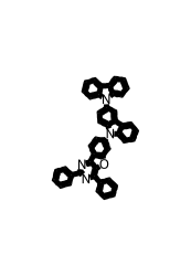 c1ccc(-c2nc(-c3ccccc3)c3oc4cc(-n5c6ccccc6c6cc(-n7c8ccccc8c8ccccc87)ccc65)ccc4c3n2)cc1